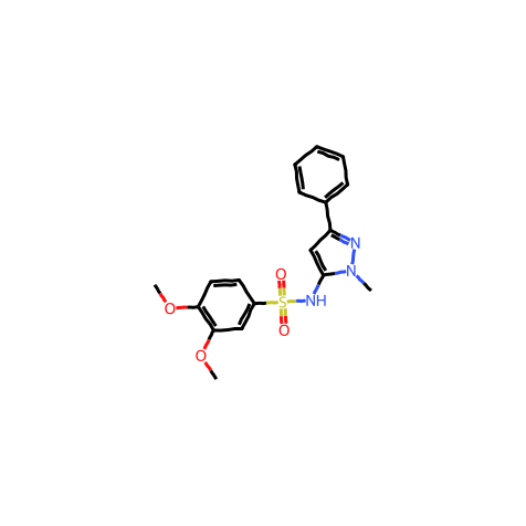 COc1ccc(S(=O)(=O)Nc2cc(-c3ccccc3)nn2C)cc1OC